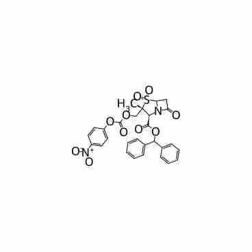 C[C@]1(COC(=O)Oc2ccc([N+](=O)[O-])cc2)[C@H](C(=O)OC(c2ccccc2)c2ccccc2)N2C(=O)CC2S1(=O)=O